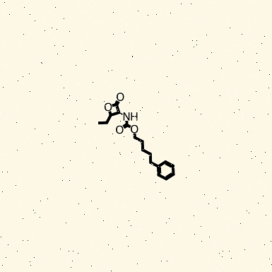 CCC1OC(=O)[C@@H]1NC(=O)OCCCCCc1ccccc1